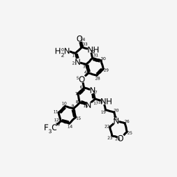 Nc1nc2c(Oc3cc(-c4ccc(C(F)(F)F)cc4)nc(NCCN4CCOCC4)n3)cccc2[nH]c1=O